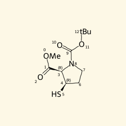 COC(=O)[C@@H]1[C@H](S)CCN1C(=O)OC(C)(C)C